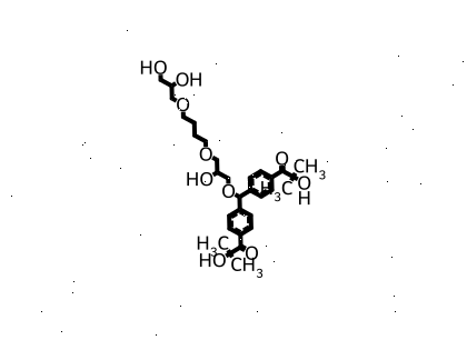 CC(C)(O)C(=O)c1ccc(C(OCC(O)COCCCCOCC(O)CO)c2ccc(C(=O)C(C)(C)O)cc2)cc1